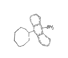 Bc1c2ccccc2c(C2CCCCCCC2)c2ccccc12